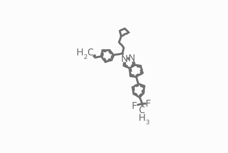 C=Cc1ccc(C(CCC2CCC2)n2cc3cc(-c4ccc(C(C)(F)F)cc4)ccc3n2)cc1